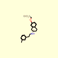 CCOC(=O)COc1ccc2c(c1)C[C@@H](NCCc1cccc(C)c1)CC2